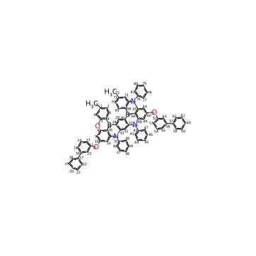 Cc1ccc2c(c1)Oc1cc(Oc3cccc(-c4ccccc4)c3)cc3c1B2c1cc2c(cc1N3c1ccccc1)N(c1ccccc1)c1cc(Oc3cccc(-c4ccccc4)c3)cc3c1B2c1ccc(C)cc1N3c1ccccc1